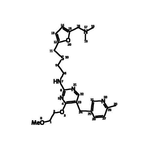 COCCOc1nc(NCCSCc2ccc(CN(C)C)o2)ncc1Cc1ccc(C)nc1